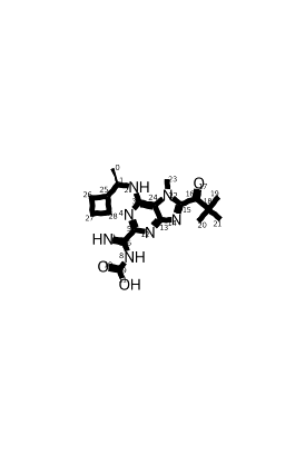 C[C@@H](Nc1nc(C(=N)NC(=O)O)nc2nc(C(=O)C(C)(C)C)n(C)c12)C1CCC1